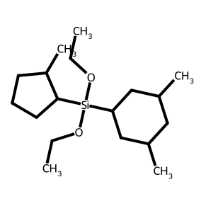 CCO[Si](OCC)(C1CC(C)CC(C)C1)C1CCCC1C